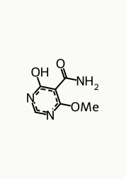 COc1ncnc(O)c1C(N)=O